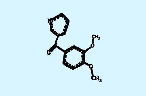 COc1ccc(C(=O)c2cccnc2)cc1OC